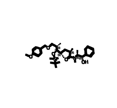 COc1ccc(COC[C@H](C)[C@H](O[Si](C)(C)C(C)(C)C)[C@@H](C)C[C@@H](C)C(=O)N(C)[C@@H](C)[C@@H](O)c2ccccc2)cc1